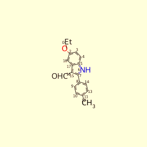 CCOc1ccc2[nH]c(-c3ccc(C)cc3)c(C=O)c2c1